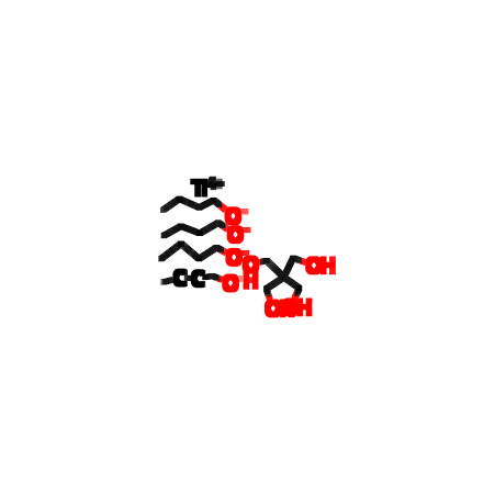 CCCC[O-].CCCC[O-].CCCC[O-].CCCC[O-].OCC(CO)(CO)CO.[Ti+4]